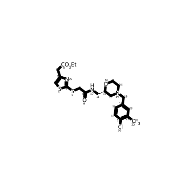 CCOC(=O)Cc1csc(SCC(=O)NC[C@H]2CN(Cc3ccc(Cl)c(C(F)(F)F)c3)CCO2)n1